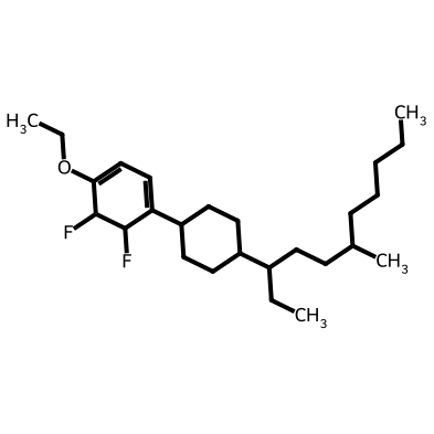 CCCCCC(C)CCC(CC)C1CCC(C2=CC=C(OCC)C(F)C2F)CC1